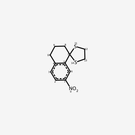 O=[N+]([O-])c1ccc2c(c1)C1(CCC2)SCCS1